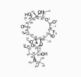 CC[C@H]1OC(=O)[C@@](C)(F)C(=O)[C@H](C)[C@@H](O[C@@H]2O[C@H](C)C[C@H](N(C)C(C)(C)C)[C@H]2O)[C@](C)(OC)C[C@@H](C)C(=O)[C@H](C)[C@@H](O)[C@]1(C)O